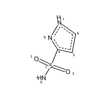 [NH]S(=O)(=O)c1cc[nH]n1